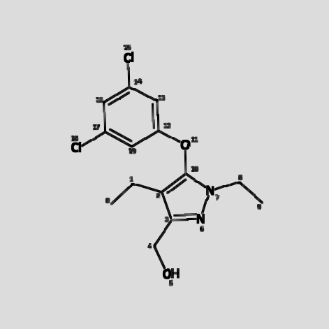 CCc1c(CO)nn(CC)c1Oc1cc(Cl)cc(Cl)c1